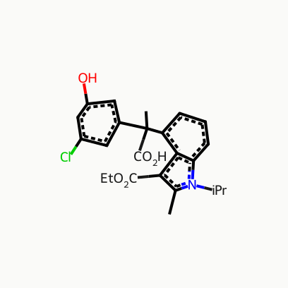 CCOC(=O)c1c(C)n(C(C)C)c2cccc(C(C)(C(=O)O)c3cc(O)cc(Cl)c3)c12